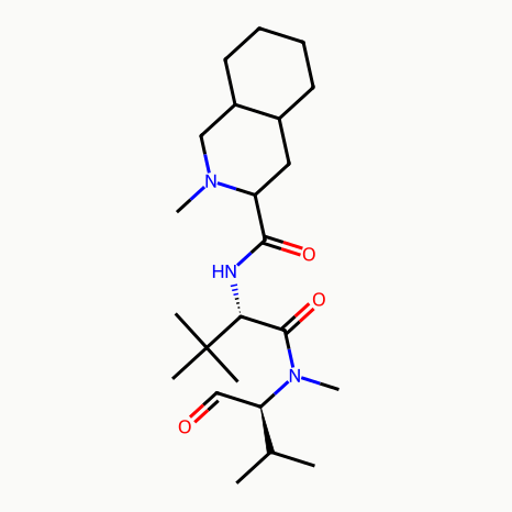 CC(C)[C@@H](C=O)N(C)C(=O)[C@@H](NC(=O)C1CC2CCCCC2CN1C)C(C)(C)C